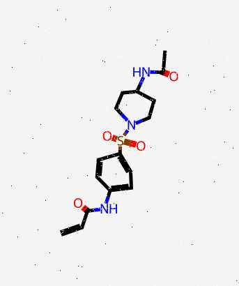 C=CC(=O)Nc1ccc(S(=O)(=O)N2CCC(NC(C)=O)CC2)cc1